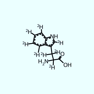 [2H]c1[nH]c2c([2H])c([2H])c([2H])c([2H])c2c1C([2H])([2H])C([2H])(N)C(=O)O